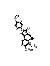 COc1ccc2c3nn(-c4ccc(OC(F)(F)F)cc4)c(=O)c-3c[nH]c2c1C